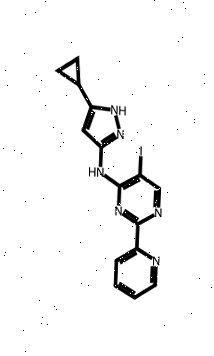 Ic1cnc(-c2ccccn2)nc1Nc1cc(C2CC2)[nH]n1